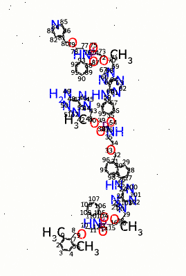 Cc1cccc(C)c1COCCNP(=O)(CO[C@H](C)Cn1cnc2c(Nc3cccc4c(COCCNP(=O)(CO[C@H](C)Cn5cnc6c(N)ncnc65)Oc5ccc(Nc6ncnc7c6ncn7C[C@@H](C)OCP(=O)(NCCOCc6ccncc6)Oc6ccccc6)cc5)cccc34)ncnc21)Oc1ccccc1